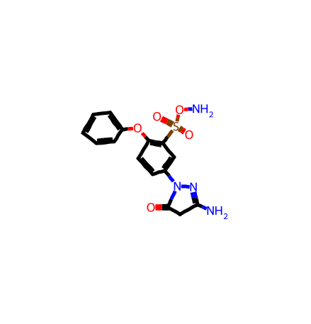 NOS(=O)(=O)c1cc(N2N=C(N)CC2=O)ccc1Oc1ccccc1